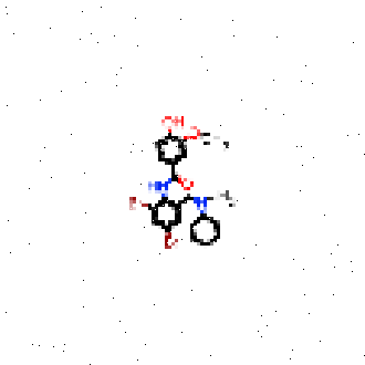 COc1cc(C(=O)Nc2c(Br)cc(Br)cc2CN(C)C2CCCCC2)ccc1O